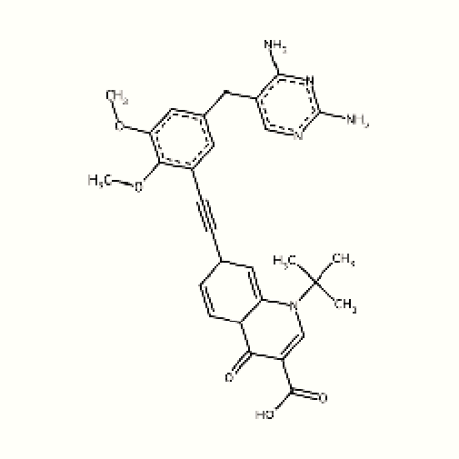 COc1cc(Cc2cnc(N)nc2N)cc(C#CC2C=CC3C(=O)C(C(=O)O)=CN(C(C)(C)C)C3=C2)c1OC